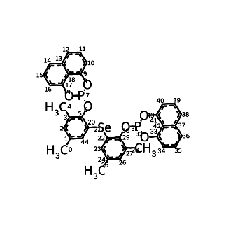 Cc1cc(C)c(OP2Oc3cccc4cccc(c34)O2)c([Se]c2cc(C)cc(C)c2OP2Oc3cccc4cccc(c34)O2)c1